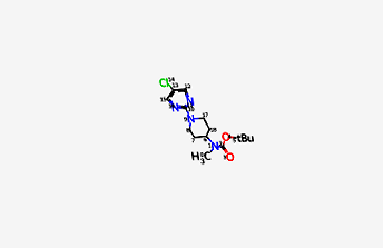 CN(C(=O)OC(C)(C)C)C1CCN(c2ncc(Cl)cn2)CC1